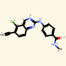 C#Cc1ccc2nc(Nc3ccc(C(=O)NC(C)C)cc3)ncc2c1Cl